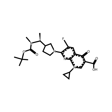 C[C@@H](C1CCN(c2nc3c(cc2F)c(=O)c(C(=O)O)cn3C2CC2)C1)N(C)C(=O)OC(C)(C)C